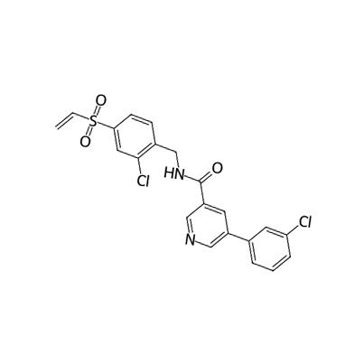 C=CS(=O)(=O)c1ccc(CNC(=O)c2cncc(-c3cccc(Cl)c3)c2)c(Cl)c1